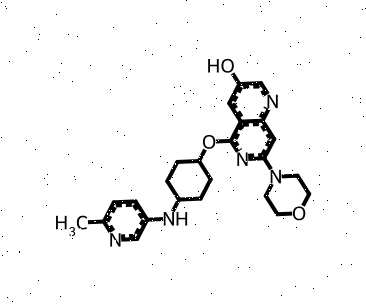 Cc1ccc(NC2CCC(Oc3nc(N4CCOCC4)cc4ncc(O)cc34)CC2)cn1